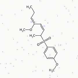 CC/C=C(\C=C/C(C)S(=O)(=O)c1ccc(OC)cc1)OC